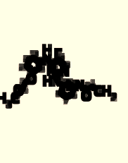 C=CC(=O)Nc1cccc(Nc2ncc(F)c(Nc3cccc(OCCOC)c3)n2)c1